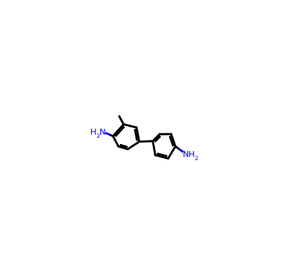 Cc1cc(-c2ccc(N)cc2)ccc1N